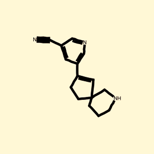 N#Cc1cncc(C2=CC3(CCCNC3)CC2)c1